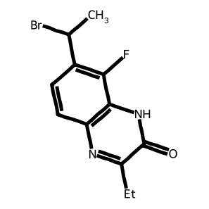 CCc1nc2ccc(C(C)Br)c(F)c2[nH]c1=O